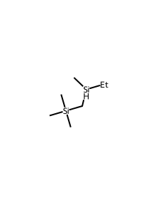 CC[SiH](C)C[Si](C)(C)C